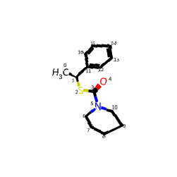 C[C@H](SC(=O)N1CCCCC1)c1ccccc1